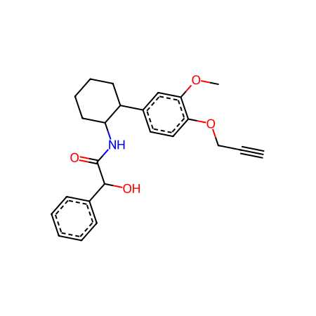 C#CCOc1ccc(C2CCCCC2NC(=O)C(O)c2ccccc2)cc1OC